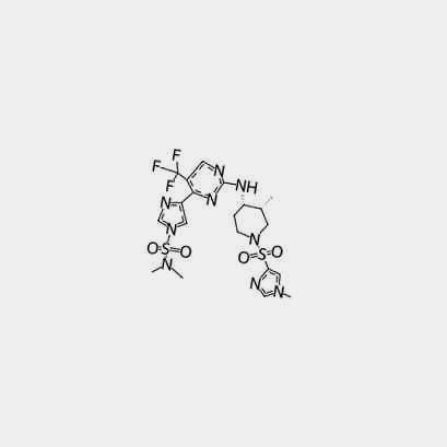 C[C@@H]1CN(S(=O)(=O)c2cn(C)cn2)CC[C@@H]1Nc1ncc(C(F)(F)F)c(-c2cn(S(=O)(=O)N(C)C)cn2)n1